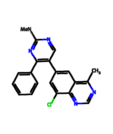 CNc1ncc(-c2cc(Cl)c3ncnc(C)c3c2)c(-c2ccccc2)n1